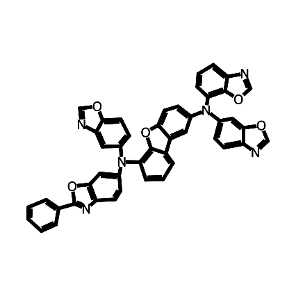 c1ccc(-c2nc3ccc(N(c4ccc5ocnc5c4)c4cccc5c4oc4ccc(N(c6ccc7ncoc7c6)c6cccc7ncoc67)cc45)cc3o2)cc1